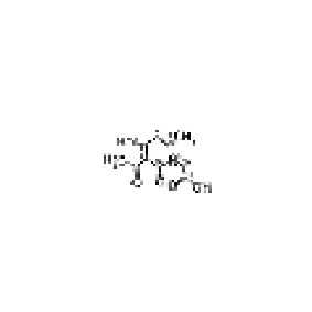 CC(=O)c1c(O)cc(C)n(CC(=O)O)c1=O